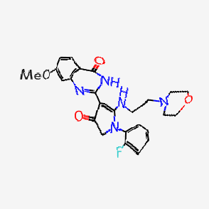 COc1ccc2c(=O)[nH]c(C3=C(NCCN4CCOCC4)N(c4ccccc4F)CC3=O)nc2c1